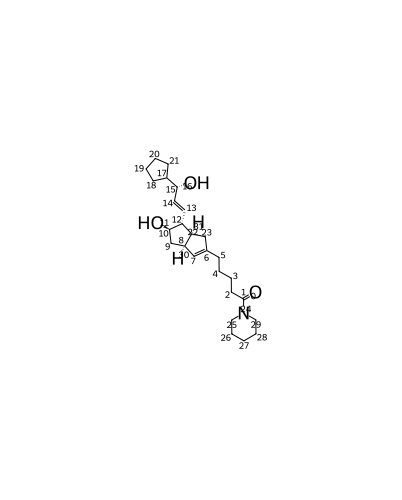 O=C(CCCCC1=C[C@H]2C[C@@H](O)[C@H](/C=C/[C@@H](O)C3CCCC3)[C@H]2C1)N1CCCCC1